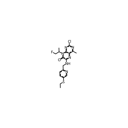 CCSc1ccc(CNc2nc3c(C)nc(Cl)nc3n(C(C)CF)c2=O)nc1